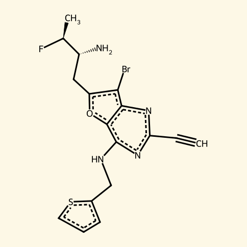 C#Cc1nc(NCc2cccs2)c2oc(C[C@@H](N)[C@H](C)F)c(Br)c2n1